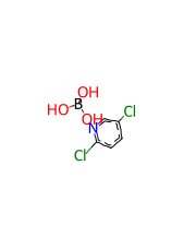 Clc1ccc(Cl)nc1.OB(O)O